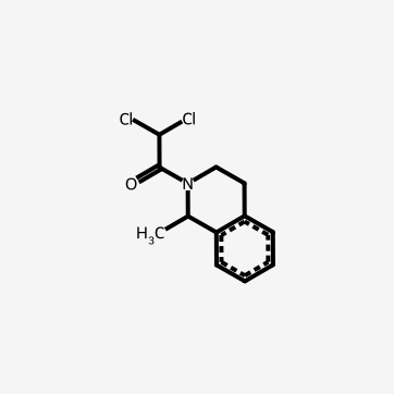 CC1c2ccccc2CCN1C(=O)C(Cl)Cl